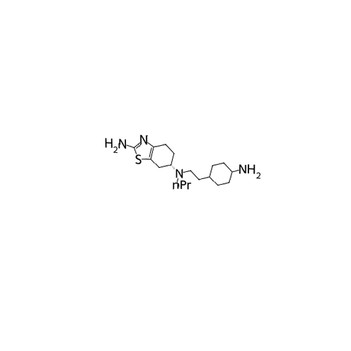 CCCN(CCC1CCC(N)CC1)[C@H]1CCc2nc(N)sc2C1